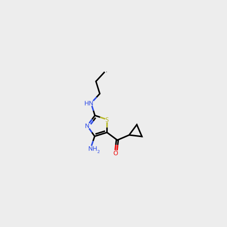 [CH2]CCNc1nc(N)c(C(=O)C2CC2)s1